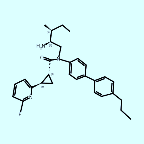 CCCc1ccc(-c2ccc(N(C[C@@H](N)[C@@H](C)CC)C(=O)[C@@H]3C[C@H]3c3cccc(F)n3)cc2)cc1